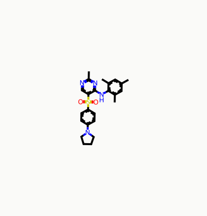 Cc1cc(C)c(Nc2nc(C)ncc2S(=O)(=O)c2ccc(N3CCCC3)cc2)c(C)c1